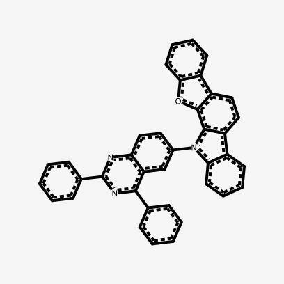 c1ccc(-c2nc(-c3ccccc3)c3cc(-n4c5ccccc5c5ccc6c7ccccc7oc6c54)ccc3n2)cc1